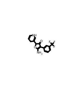 NC1=C(c2cccc(C(F)(F)F)c2)C(=O)C(C2=CNC=CC2)O1